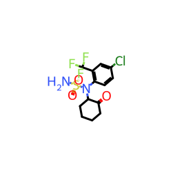 NS(=O)(=O)N(c1ccc(Cl)cc1C(F)(F)F)C1CCCCC1=O